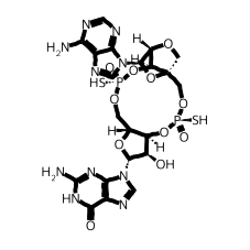 Nc1nc2c(ncn2[C@@H]2O[C@@H]3CO[P@](=O)(S)O[C@H]4[C@H]5OC[C@]4(CO[P@@](=O)(S)O[C@H]3[C@H]2O)O[C@H]5n2cnc3c(N)ncnc32)c(=O)[nH]1